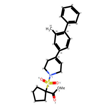 COC(=O)C1(S(=O)(=O)N2CC=C(c3ccc(-c4ccccc4)c(C)c3)CC2)CCCC1